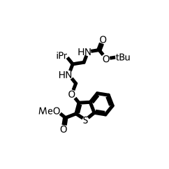 COC(=O)c1sc2ccccc2c1OCNC(CNC(=O)OC(C)(C)C)C(C)C